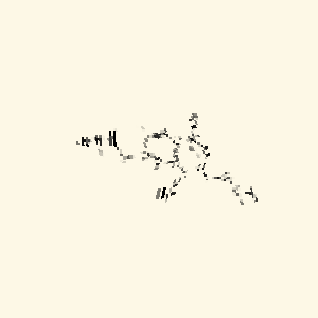 CSCOC(C)c1cc(CN=[N+]=[N-])ccc1[N+](=O)[O-]